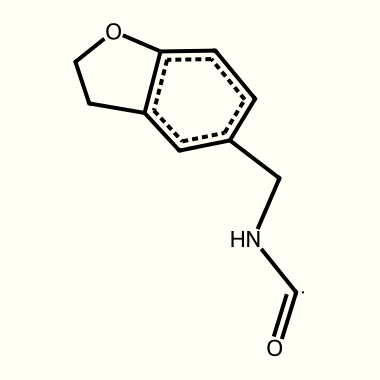 O=[C]NCc1ccc2c(c1)CCO2